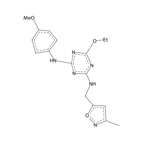 CCOc1nc(NCc2cc(C)no2)nc(Nc2ccc(OC)cc2)n1